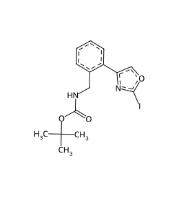 CC(C)(C)OC(=O)NCc1ccccc1-c1coc(I)n1